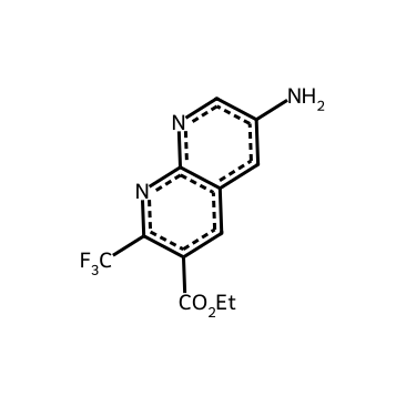 CCOC(=O)c1cc2cc(N)cnc2nc1C(F)(F)F